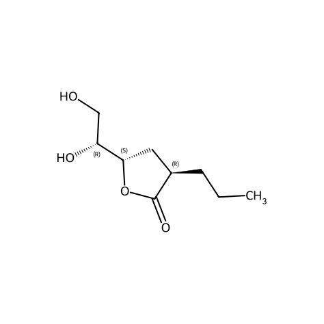 CCC[C@@H]1C[C@@H]([C@H](O)CO)OC1=O